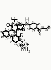 CC(C)n1c(=O)c(-c2ccccc2-c2ccc(CS(N)(=O)=O)c(F)c2)nc2cnc(NC3CCC(N(C)CCF)CC3)nc21